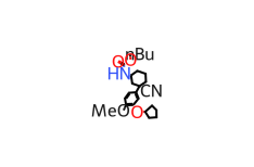 CCCCOC(=O)NC1CCCC(C#N)(c2ccc(OC)c(OC3CCCC3)c2)C1